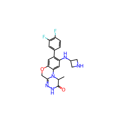 CC1C(=O)NN=C2COc3cc(-c4ccc(F)c(F)c4)c(NC4CNC4)cc3N21